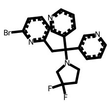 FC1(F)CCN(C(Cc2cccc(Br)n2)(c2cccnc2)c2cccnc2)C1